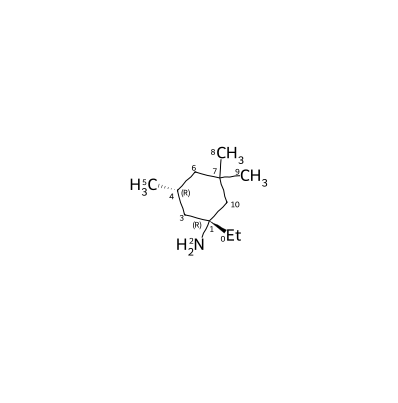 CC[C@@]1(N)C[C@H](C)CC(C)(C)C1